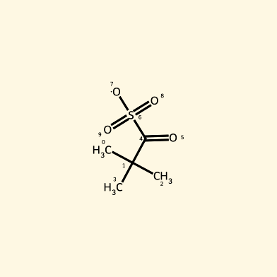 CC(C)(C)C(=O)S([O])(=O)=O